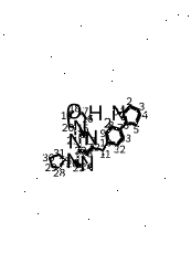 Nc1ccccc1-c1ccc([CH]c2nc(N3CCOCC3)nc3c2ncn3C2CCCC2)cc1